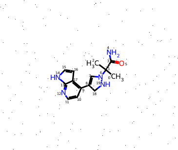 CC(C)(C(N)=O)N1C=C(c2ccnc3[nH]ccc23)CN1